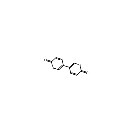 O=c1ccc(-c2ccc(=O)oc2)co1